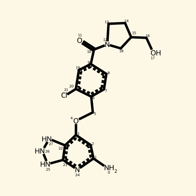 Nc1cc(OCc2ccc(C(=O)N3CCC(CO)C3)cc2Cl)c2c(n1)NNN2